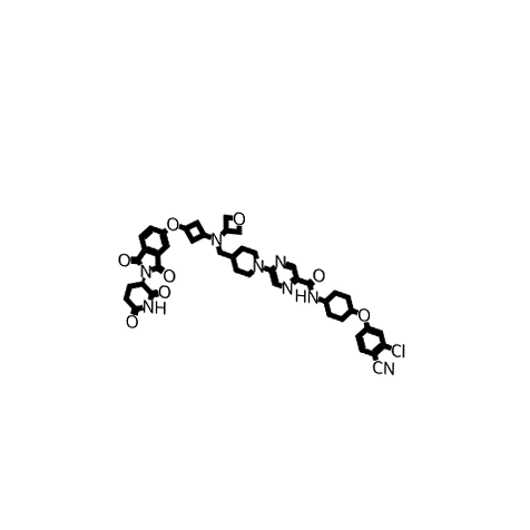 N#Cc1ccc(OC2CCC(NC(=O)c3cnc(N4CCC(CN(C5COC5)C5CC(Oc6ccc7c(c6)C(=O)N([C@@H]6CCC(=O)NC6=O)C7=O)C5)CC4)cn3)CC2)cc1Cl